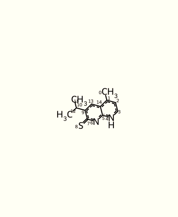 Cc1cc[nH]c2nc(=S)c(C(C)C)cc1-2